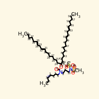 CC/C=C\CCCN(CCCN(S(C)(=O)=O)S(C)(=O)=O)C(=O)OC(CCCCCCCC=CCC=CCCCCC)CCCCCCCCCC=CCC=CCCCCC